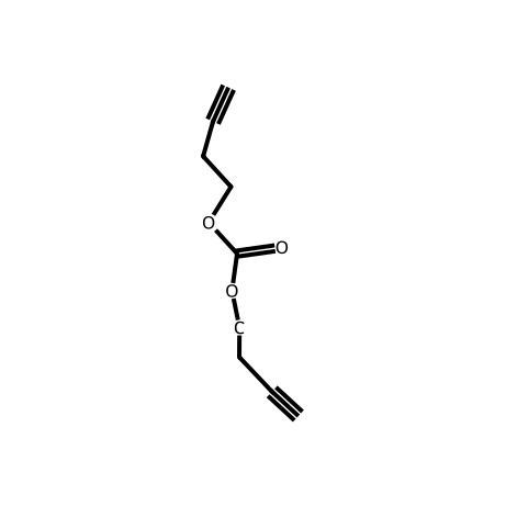 C#CCCOC(=O)OCCC#C